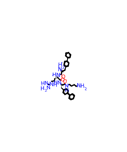 N=C(N)NCCC[C@H](NC(=O)[C@@H](N)Cc1ccc(-c2ccccc2)cc1)C(=O)N[C@@H](Cc1ccc(-c2ccccc2)cc1)C(=O)NCCCCN